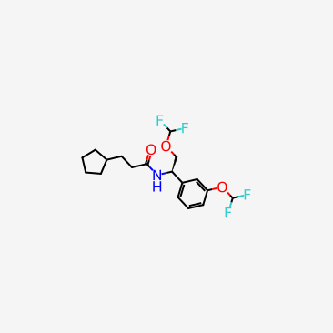 O=C(CCC1CCCC1)N[C@@H](COC(F)F)c1cccc(OC(F)F)c1